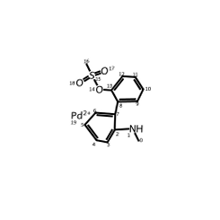 CNc1ccccc1-c1ccccc1OS(C)(=O)=O.[Pd+2]